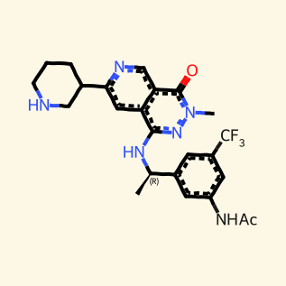 CC(=O)Nc1cc([C@@H](C)Nc2nn(C)c(=O)c3cnc(C4CCCNC4)cc23)cc(C(F)(F)F)c1